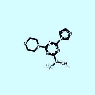 CN(C)c1nc(N2CCOCC2)nc(-n2ccnc2)n1